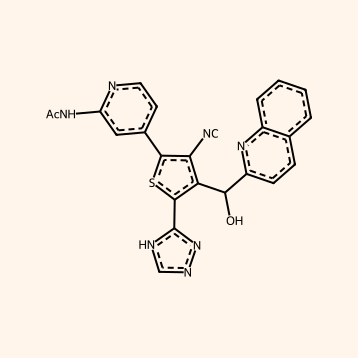 [C-]#[N+]c1c(-c2ccnc(NC(C)=O)c2)sc(-c2nnc[nH]2)c1C(O)c1ccc2ccccc2n1